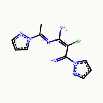 C/C(=N\C(N)=C(\Br)C(=N)n1cccn1)n1cccn1